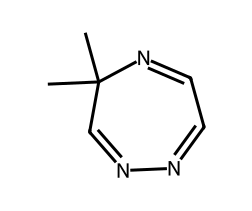 CC1(C)C=NN=CC=N1